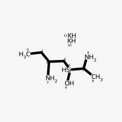 CCC(N)C[SiH](O)C(C)N.[KH].[KH]